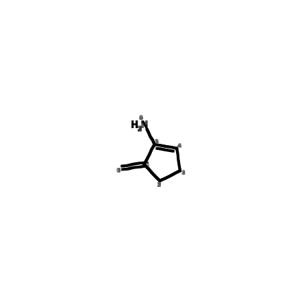 C=C1CCC=C1N